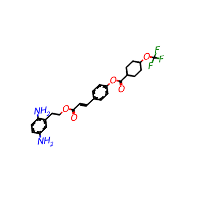 Nc1ccc(N)c(CCOC(=O)C=Cc2ccc(OC(=O)C3CCC(OC(F)(F)F)CC3)cc2)c1